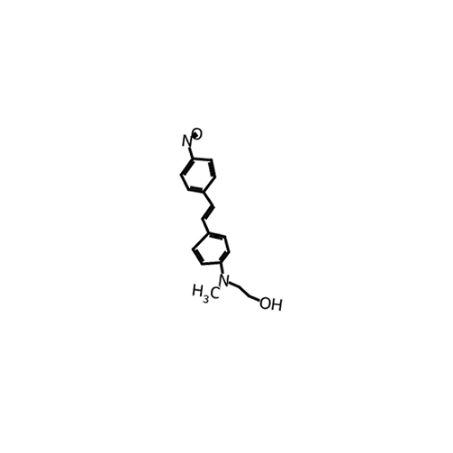 CN(CCO)c1ccc(/C=C/c2ccc(N=O)cc2)cc1